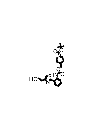 CC(C)(C)OC(=O)N1CCC(COC(=O)Nc2ccccc2-c2nc(CCO)cs2)CC1